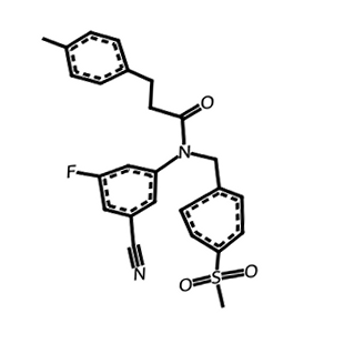 Cc1ccc(CCC(=O)N(Cc2ccc(S(C)(=O)=O)cc2)c2cc(F)cc(C#N)c2)cc1